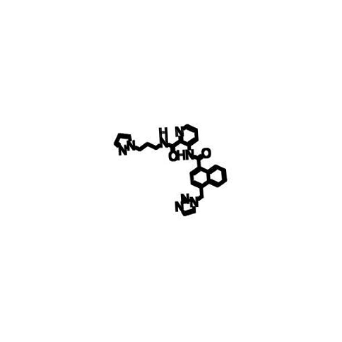 O=C(NCCCn1cccn1)c1ncccc1NC(=O)c1ccc(Cn2ccnn2)c2ccccc12